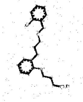 CCOC(=O)CCCOc1ccccc1CCCOCc1ccccc1C(C)=O